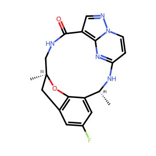 C[C@H]1Nc2ccn3ncc(c3n2)C(=O)NC[C@]2(C)Cc3cc(F)cc1c3O2